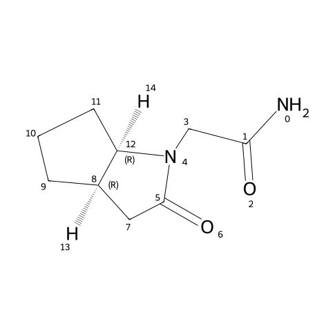 NC(=O)CN1C(=O)C[C@H]2CCC[C@H]21